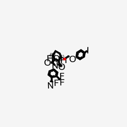 C[C@@]12CC[C@@](CCOc3ccc(I)cc3)(O1)[C@H]1C(=O)N(c3ccc(C#N)c(C(F)(F)F)c3)C(=O)[C@H]12